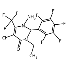 CCN1C(=O)C(Cl)=C(C(F)(F)F)N(N)C1c1c(F)c(F)c(F)c(F)c1F